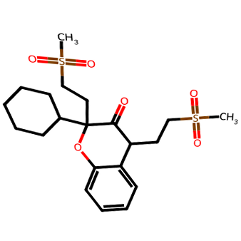 CS(=O)(=O)CCC1C(=O)C(CCS(C)(=O)=O)(C2CCCCC2)Oc2ccccc21